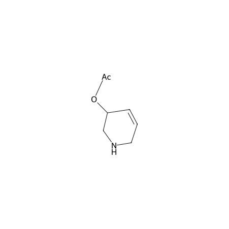 CC(=O)OC1C=CCNC1